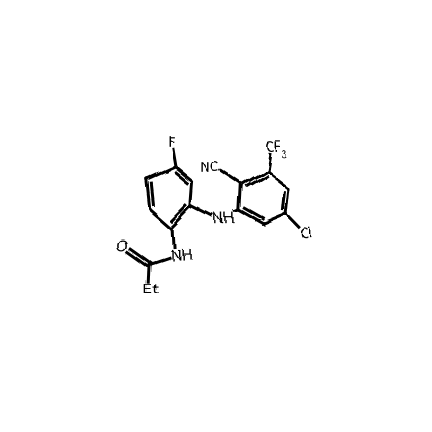 CCC(=O)Nc1ccc(F)cc1Nc1cc(Cl)cc(C(F)(F)F)c1C#N